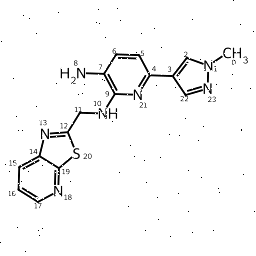 Cn1cc(-c2ccc(N)c(NCc3nc4cccnc4s3)n2)cn1